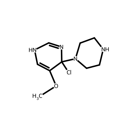 COC1=CNC=NC1(Cl)N1CCNCC1